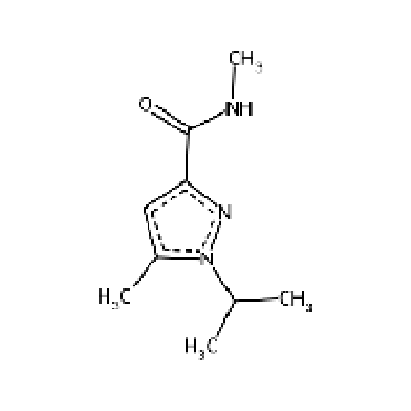 CNC(=O)c1cc(C)n(C(C)C)n1